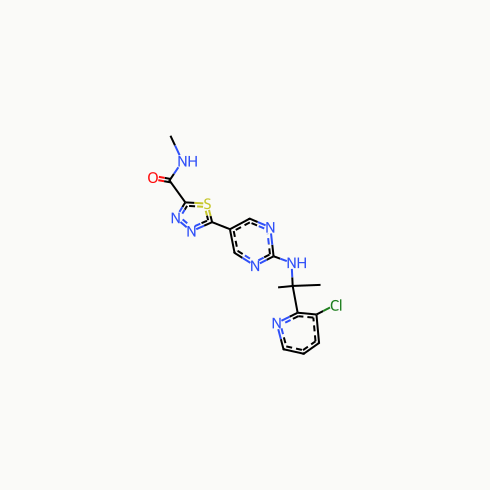 CNC(=O)c1nnc(-c2cnc(NC(C)(C)c3ncccc3Cl)nc2)s1